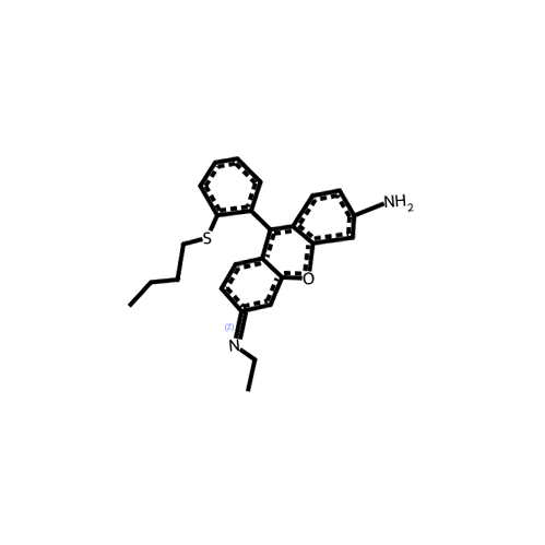 CCCCSc1ccccc1-c1c2cc/c(=N/CC)cc-2oc2cc(N)ccc12